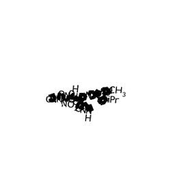 CC(C)c1ccccc1[C@@H]1CN(C)CCN1C1CC2(CCN(c3ccc(C(=O)NS(=O)(=O)c4cc([N+](=O)[O-])c5c(n4)OC[C@@H](C4CCOCC4)N5)c(N4CCOc5nc6[nH]ccc6cc54)c3)CC2)C1